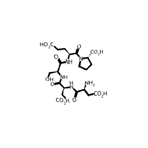 N[C@@H](CC(=O)O)C(=O)N[C@@H](CC(=O)O)C(=O)N[C@@H](CO)C(=O)N[C@@H](CCC(=O)O)C(=O)N1CCC[C@H]1C(=O)O